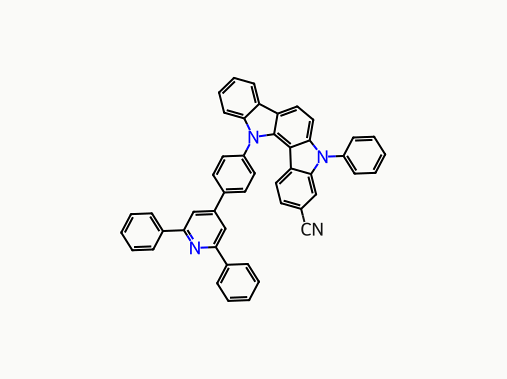 N#Cc1ccc2c3c(ccc4c5ccccc5n(-c5ccc(-c6cc(-c7ccccc7)nc(-c7ccccc7)c6)cc5)c43)n(-c3ccccc3)c2c1